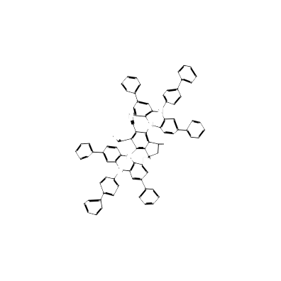 N#Cc1c(C#N)c(N2c3ccc(-c4ccccc4)cc3N(c3ccc(-c4ccccc4)cc3)c3cc(-c4ccccc4)ccc32)c2c(c1N1c3ccc(-c4ccccc4)cc3N(c3ccc(-c4ccccc4)cc3)c3cc(-c4ccccc4)ccc31)C(F)(F)CC2(F)F